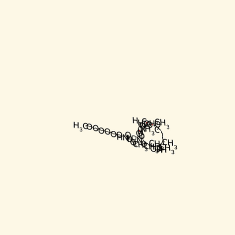 CCOCCOCCOCCOCCOCCOCCNC(=O)O[C@@H]1CC[C@@H](C[C@@H](N)[C@@H]2CC(=O)[C@H](C)/C=C(\C)[C@@H](O)[C@@H](O)C(=O)[C@H](C)C[C@H](C)/C=C/C=C/C=C(\C)[C@@H](OC)C[C@@H]3CC[C@@H](C)[C@@](O)(O3)C(=O)C(=O)N3CCCC[C@H]3C(=O)O2)C[C@H]1OC